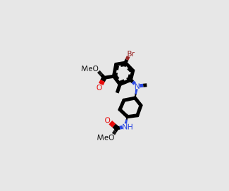 COC(=O)N[C@H]1CC[C@@H](N(C)c2cc(Br)cc(C(=O)OC)c2C)CC1